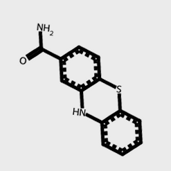 NC(=O)c1ccc2c(c1)Nc1ccccc1S2